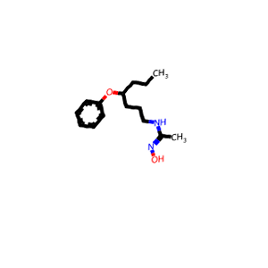 CCCC(CCCNC(C)=NO)Oc1ccccc1